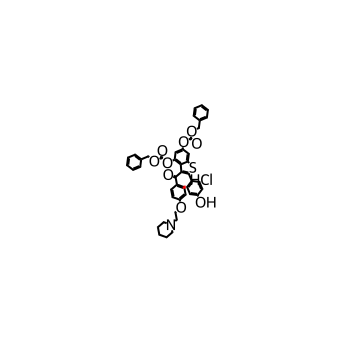 Cl.O=C(OCc1ccccc1)Oc1cc(OC(=O)OCc2ccccc2)c2c(C(=O)c3ccc(OCCN4CCCCC4)cc3)c(-c3ccc(O)cc3)sc2c1